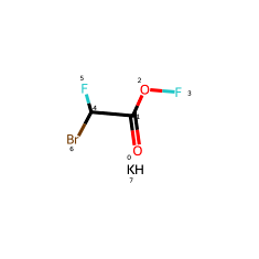 O=C(OF)C(F)Br.[KH]